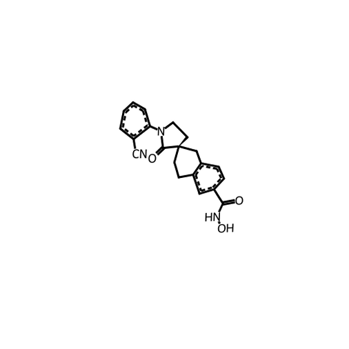 N#Cc1ccccc1N1CC[C@@]2(CCc3cc(C(=O)NO)ccc3C2)C1=O